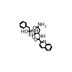 CCC(O)(Cc1ccccc1)NC(=O)C(CC(N)=O)NC(=O)c1ccc2ccccc2n1